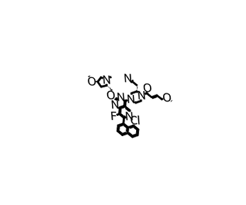 COC/C=C/C(=O)N1CCN(c2nc(OC[C@@H]3C[C@@H](OC)CN3C)nc3c(F)c(-c4cccc5cccc(Cl)c45)ncc23)C[C@@H]1CC#N